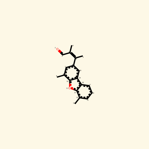 C/C(C=O)=C(\C)c1cc(C)c2oc3c(C)cccc3c2c1